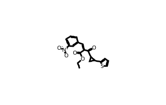 CCOC(=O)C(=Cc1cccc([N+](=O)[O-])c1)C(=O)C1CC1c1cccs1